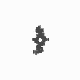 Nc1ncnc2c1ncn2[C@@H]1C[C@@H]2COP(O)(=S)O[C@H]3[C@H](F)[C@H](n4ccc5c(Cl)ncnc54)O[C@@H]3COP(O)(=S)OC[C@H]21